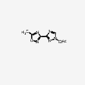 CC(=O)On1cnc(-c2noc(C)n2)n1